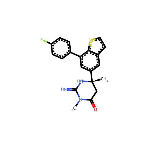 CN1C(=N)N[C@](C)(c2cc(-c3ccc(F)cc3)c3sccc3c2)CC1=O